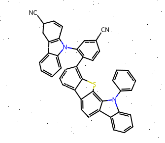 N#Cc1ccc(-c2cccc3c2sc2c3ccc3c4ccccc4n(-c4ccccc4)c32)c(-n2c3c(c4ccccc42)CC(C#N)C=C3)c1